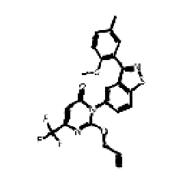 C=CCOc1nc(C(F)(F)F)cc(=O)n1-c1ccc2snc(-c3cc(C)ccc3OC)c2c1